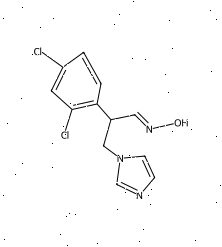 ON=CC(Cn1ccnc1)c1ccc(Cl)cc1Cl